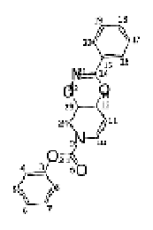 O=C(Oc1ccccc1)N1C=CC2OC(c3ccccc3)=NOC2C1